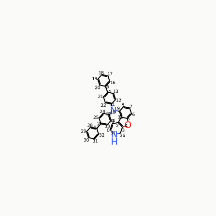 C1=Cc2c(oc3cccc(N(c4ccc(-c5ccccc5)cc4)c4ccc(-c5ccccc5)cc4)c23)CN1